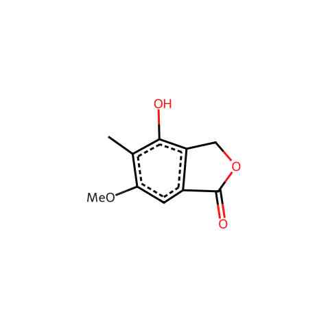 COc1cc2c(c(O)c1C)COC2=O